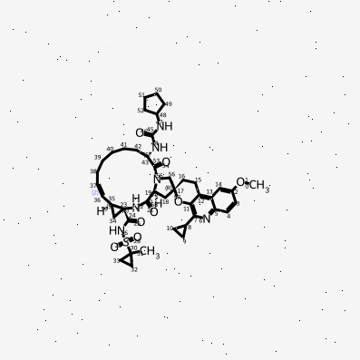 COc1ccc2nc(C3CC3)c3c(c2c1)CC[C@]1(C[C@H]2C(=O)N[C@]4(C(=O)NS(=O)(=O)C5(C)CC5)C[C@H]4/C=C\CCCCC[C@H](NC(=O)NC4CCCC4)C(=O)N2C1)O3